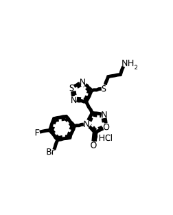 Cl.NCCSc1nsnc1-c1noc(=O)n1-c1ccc(F)c(Br)c1